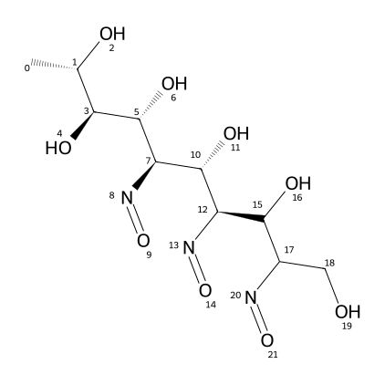 C[C@H](O)[C@H](O)[C@H](O)[C@H](N=O)[C@H](O)[C@H](N=O)C(O)C(CO)N=O